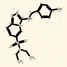 CCN(CC)S(=O)(=O)c1ccc2nnc(NCc3ccc(O)cc3)n2c1